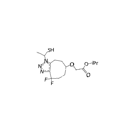 CC(C)OC(=O)COC1CCc2c(nnn2C(C)S)C(F)(F)CC1